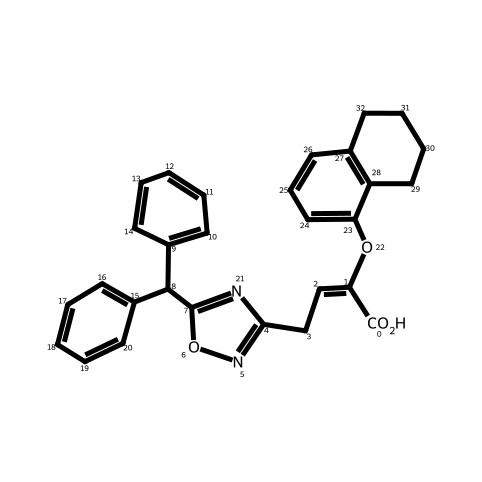 O=C(O)C(=CCc1noc(C(c2ccccc2)c2ccccc2)n1)Oc1cccc2c1CCCC2